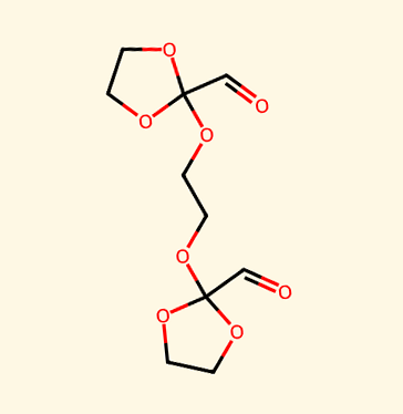 O=CC1(OCCOC2(C=O)OCCO2)OCCO1